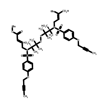 CC#CCOc1ccc(S(=O)(=O)N(CC=CC(=O)OC(C)(C)C)[C@@](C)(C(=O)O)C(C)(C)SSC(C)(C)[C@](C)(C(=O)O)N(CC=C(C(=O)O)C(C)(C)C)S(=O)(=O)c2ccc(OCC#CC)cc2)cc1